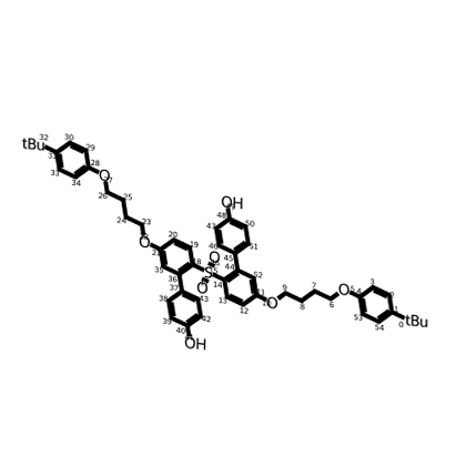 CC(C)(C)c1ccc(OCCCCOc2ccc(S(=O)(=O)c3ccc(OCCCCOc4ccc(C(C)(C)C)cc4)cc3-c3ccc(O)cc3)c(-c3ccc(O)cc3)c2)cc1